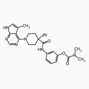 Cc1c[nH]c2ncnc(N3CCC(C(=O)Nc4cccc(OC(=O)N(C)C)c4)(C(C)C)CC3)c12